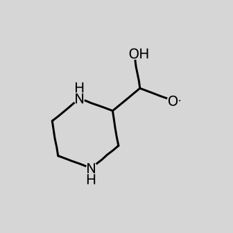 [O]C(O)C1CNCCN1